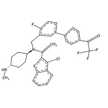 C=C(c1sc2ccccc2c1Cl)N(Cc1cc(-c2ccc(C(=O)C(F)(F)F)cc2)ccc1F)[C@H]1CC[C@H](NC)CC1